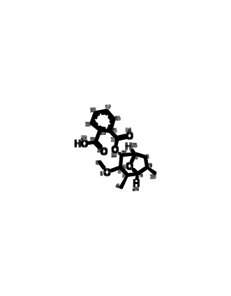 COC1[C@H](C)[C@@H]2O[C@@H](C[C@H]2C)[C@H]1OC(=O)c1ccccc1C(=O)O